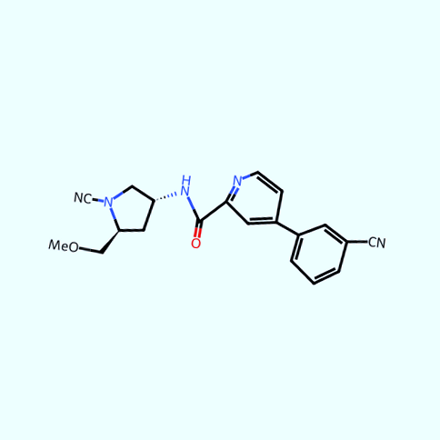 COC[C@@H]1C[C@@H](NC(=O)c2cc(-c3cccc(C#N)c3)ccn2)CN1C#N